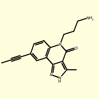 CC#Cc1ccc2c(c1)c1n[nH]c(C)c1c(=O)n2CCCN